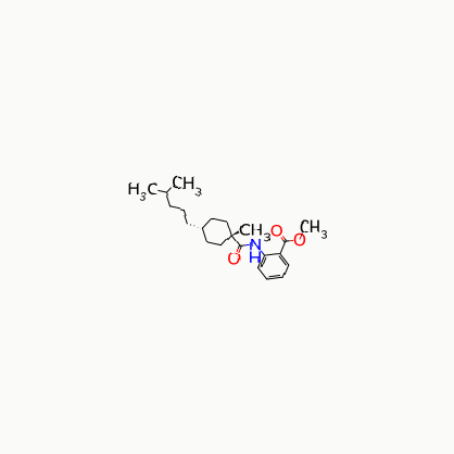 COC(=O)c1ccccc1NC(=O)[C@]1(C)CC[C@H](CCCC(C)C)CC1